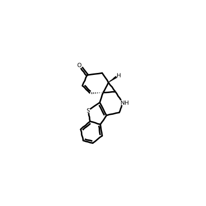 O=C1C=C[C@@]23c4sc5ccccc5c4CNC2[C@H]3C1